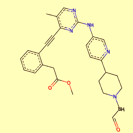 COC(=O)Cc1ccccc1C#Cc1nc(Nc2ccc(C3CCN(BC=O)CC3)nc2)ncc1C